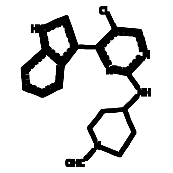 O=CN1CCC(Nc2ncc(Cl)c(-c3c[nH]c4ccccc34)n2)CC1